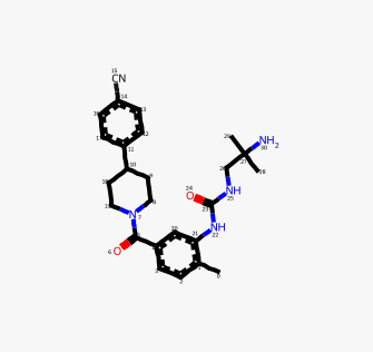 Cc1ccc(C(=O)N2CCC(c3ccc(C#N)cc3)CC2)cc1NC(=O)NCC(C)(C)N